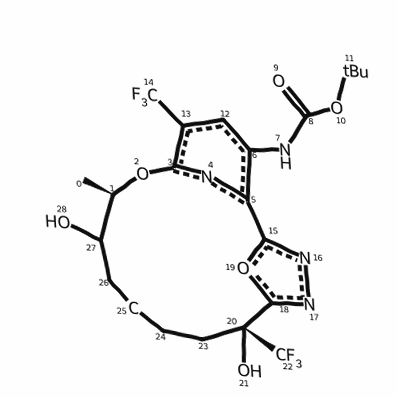 C[C@H]1Oc2nc(c(NC(=O)OC(C)(C)C)cc2C(F)(F)F)-c2nnc(o2)[C@@](O)(C(F)(F)F)CCCCC1O